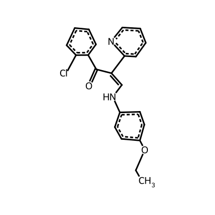 CCOc1ccc(NC=C(C(=O)c2ccccc2Cl)c2ccccn2)cc1